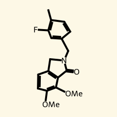 COc1ccc2c(c1OC)C(=O)N(Cc1ccc(C)c(F)c1)C2